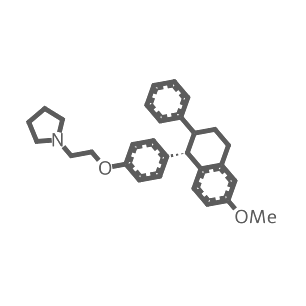 COc1ccc2c(c1)CCC(c1ccccc1)[C@H]2c1ccc(OCCN2CCCC2)cc1